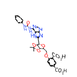 CC1(C)OC2C(COc3ccc(C(=O)O)cc3C(=O)O)OC(c3nc4ncnc(NC(=O)Nc5ccccc5)c4[nH]3)C2O1